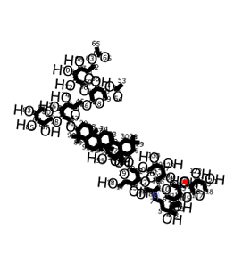 C=CC(C)(O)CC/C=C(\C)C(=O)OC1C(O)C(CO)OC(OC(=O)C23CCC(C)(C)CC2C2=CCC4C5(C)CCC(OC6OC(COC7OCC(OC(C)=O)C(O)C7OC7OC(COC(C)=O)C(O)C(O)C7O)C(O)C(O)C6OC6OCC(O)C(O)C6O)C(C)(C)C5CCC4(C)C2(C)C(O)C3O)C1OC1OCC(OC2OCC(O)C(OC3OCC(O)C(O)C3O)C2O)C(O)C1O